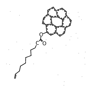 C=CCCCCCCCCC(=O)Oc1cc2ccc3ccc4ccc5ccc6ccc1c1c6c5c4c3c21